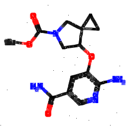 CC(C)(C)OC(=O)N1CC(Oc2cc(C(N)=O)cnc2N)C2(CC2)C1